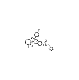 O=C(NCc1cccs1)c1ccc(CN([C@@H]2CCCCNC2=O)S(=O)(=O)c2ccc(Cl)cc2)cc1